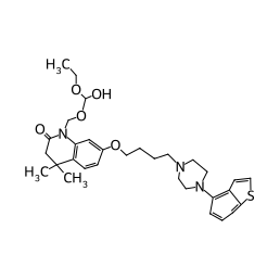 CCOC(O)OCN1C(=O)CC(C)(C)c2ccc(OCCCCN3CCN(c4cccc5sccc45)CC3)cc21